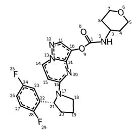 O=C(NC1CCOCC1)Oc1cnn2ccc(N3CCC[C@@H]3c3cc(F)ccc3F)nc12